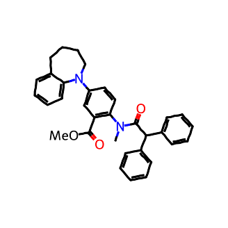 COC(=O)c1cc(N2CCCCc3ccccc32)ccc1N(C)C(=O)C(c1ccccc1)c1ccccc1